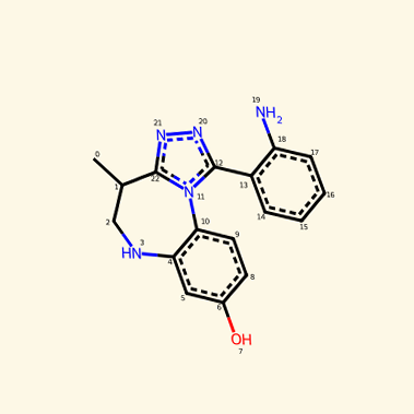 CC1CNc2cc(O)ccc2-n2c(-c3ccccc3N)nnc21